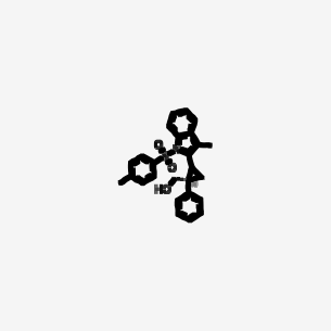 Cc1ccc(S(=O)(=O)n2c(C3C[C@@]3(CO)c3ccccc3)c(C)c3ccccc32)cc1